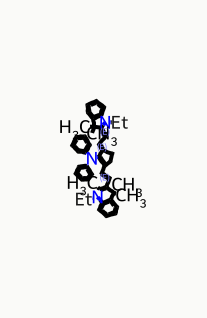 CCN1C(C)=C(/C=C/C2=C(N(c3ccccc3)c3ccccc3)C(=C/C=C3/N(CC)c4ccccc4C3(C)C)/CC2)C(C)(C)c2ccccc21